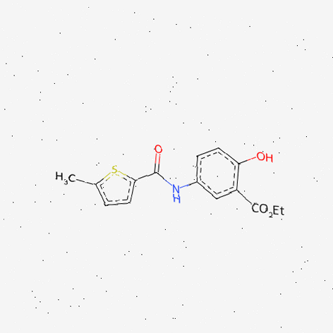 CCOC(=O)c1cc(NC(=O)c2ccc(C)s2)ccc1O